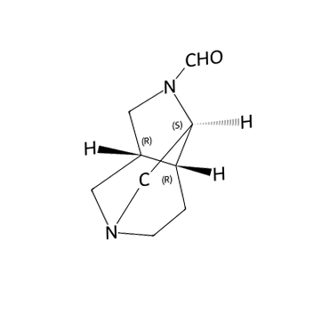 O=CN1C[C@H]2CN3CC[C@H]2[C@H]1C3